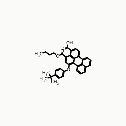 CCCCOC(=O)c1cc(Oc2ccc(C(C)(C)C)cc2)c2c3cccc4cccc(c5ccc(C(=O)O)c1c52)c43